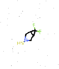 FC1(F)C2CN(S)CC21